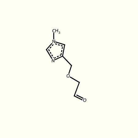 Cn1cnc(COCC=O)c1